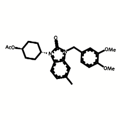 COc1ccc(Cn2c(=O)n([C@H]3CC[C@H](OC(C)=O)CC3)c3ccc(C)cc32)cc1OC